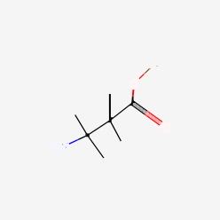 CC(C)(N)C(C)(C)C(=O)OBr